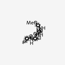 COc1ccc(Nc2ncc(NC(=O)c3cc(NC(=O)c4cccc(CF)c4)ccc3Cl)cn2)cc1